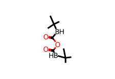 CC(C)(C)BC(=O)OC(=O)BC(C)(C)C